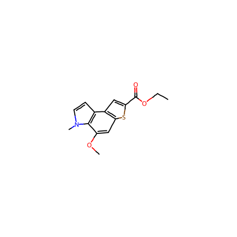 CCOC(=O)c1cc2c(cc(OC)c3c2ccn3C)s1